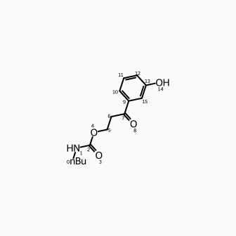 CCCCNC(=O)OCCC(=O)c1cccc(O)c1